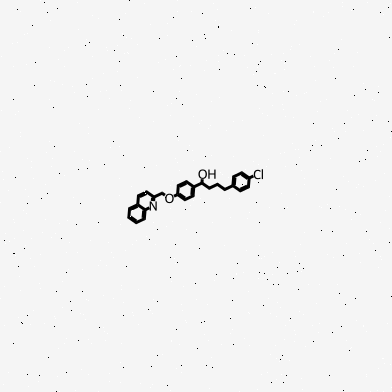 OC(CCCc1ccc(Cl)cc1)c1ccc(OCc2ccc3ccccc3n2)cc1